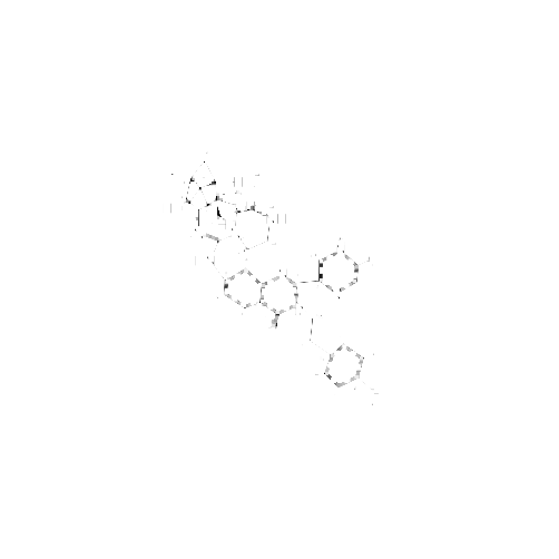 Cc1cnc(-c2nc3cc(N/C(=N/C4C[C@H]5C[C@@H]([C@@H]4C)C5(C)C)N4CCN[C@@H](C)C4)ccc3c(=O)n2CCc2ccc(F)cc2)cn1